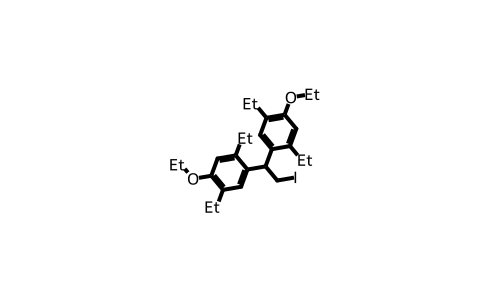 CCOc1cc(CC)c(C(CI)c2cc(CC)c(OCC)cc2CC)cc1CC